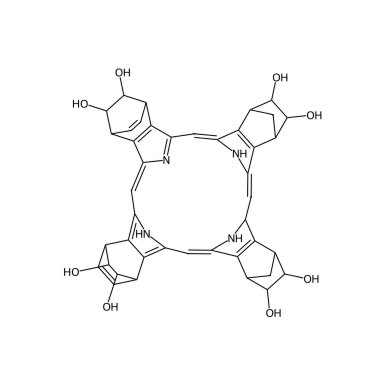 OC1C2C=CC(C3=C2C2=NC/3=C\c3[nH]c(c4c3C3C=CC4C(O)C3O)/C=C3\NC(/C=c4\[nH]/c(c5c4C4CC5C(O)C4O)=C\2)C2=C3C3CC2C(O)C3O)C1O